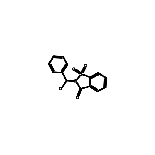 O=C1c2ccccc2S(=O)(=O)N1C(Cl)c1ccccc1